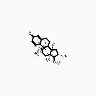 C[C@H]1C[C@H]2[C@@H]3CCC4=CC(=O)C=C[C@]4(C)[C@@]3(F)[C@@H](O)C[C@]2(C)C1C(=O)O